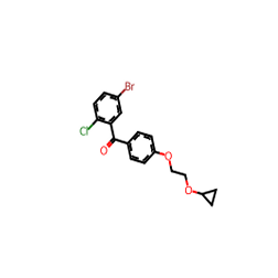 O=C(c1ccc(OCCOC2CC2)cc1)c1cc(Br)ccc1Cl